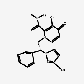 CCN(C(=O)c1c(O)c(=O)cnn1C[C@@H](c1ccccc1)n1ccc(C#N)n1)C(C)C